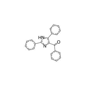 O=C(c1ccccc1)c1nc(-c2ccccc2)[nH]c1-c1ccccc1